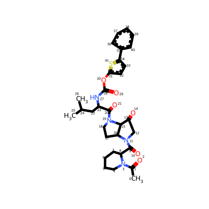 CC(=O)N1CCCCC1C(=O)N1CC(=O)C2C1CCN2C(=O)C(CC(C)C)NC(=O)Oc1ccc(-c2ccccc2)s1